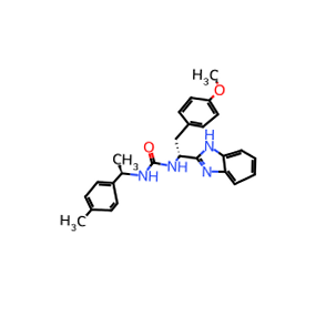 COc1ccc(C[C@@H](NC(=O)N[C@H](C)c2ccc(C)cc2)c2nc3ccccc3[nH]2)cc1